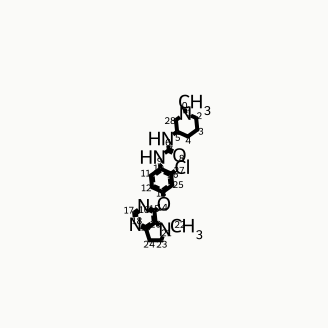 CN1CCCC(NC(=O)Nc2ccc(Oc3ncnc4c3N(C)CC4)cc2Cl)C1